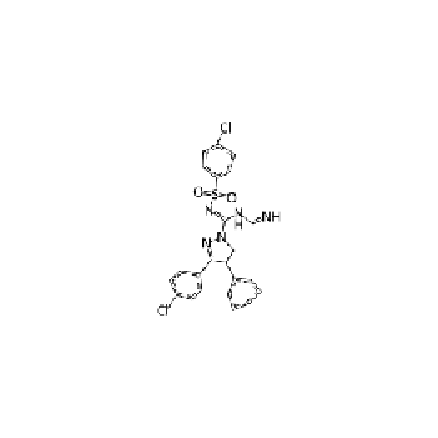 N=CN/C(=N\S(=O)(=O)c1ccc(Cl)cc1)N1CC(c2ccccc2)C(c2ccc(Cl)cc2)=N1